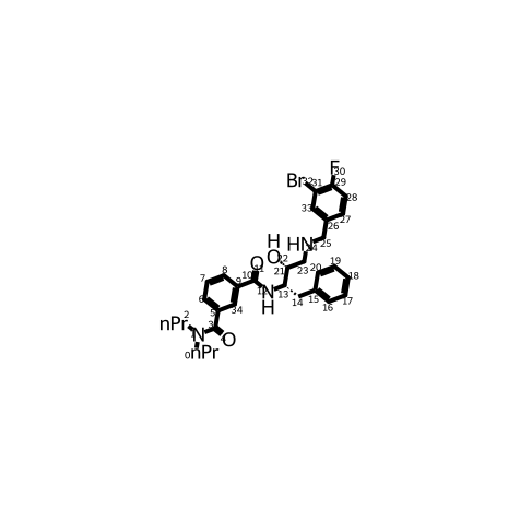 CCCN(CCC)C(=O)c1cccc(C(=O)N[C@@H](Cc2ccccc2)[C@H](O)CNCc2ccc(F)c(Br)c2)c1